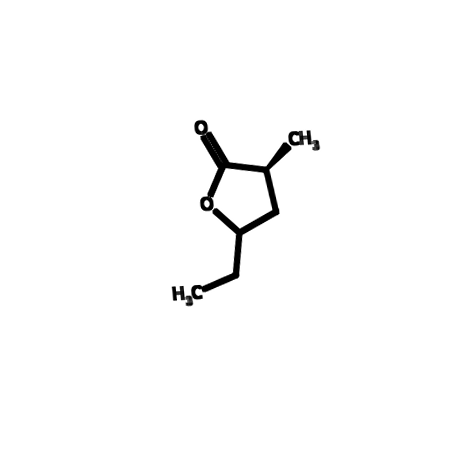 CCC1C[C@H](C)C(=O)O1